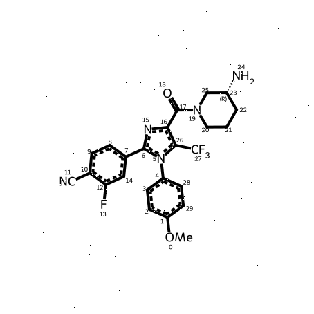 COc1ccc(-n2c(-c3ccc(C#N)c(F)c3)nc(C(=O)N3CCC[C@@H](N)C3)c2C(F)(F)F)cc1